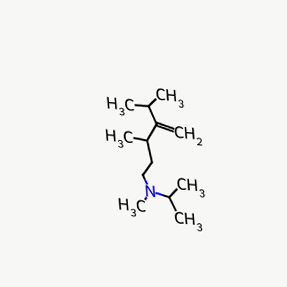 C=C(C(C)C)C(C)CCN(C)C(C)C